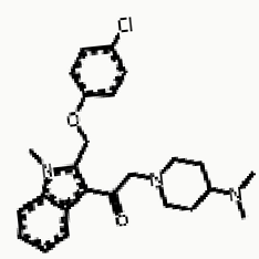 CN(C)C1CCN(CC(=O)c2c(COc3ccc(Cl)cc3)n(C)c3ccccc23)CC1